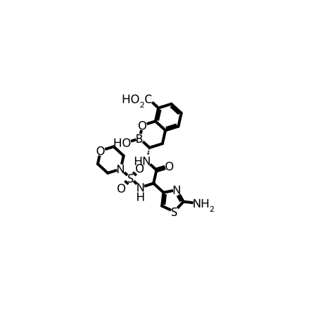 Nc1nc(C(NS(=O)(=O)N2CCOCC2)C(=O)N[C@H]2Cc3cccc(C(=O)O)c3OB2O)cs1